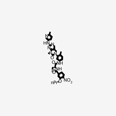 CCCOc1cc(C(=O)N[C@@H](CC(C)C)C(=O)Nc2ccc(C)c(N3Cc4cnc(Nc5ccc(C)nc5)nc4N(C)C3=O)c2)ccc1[N+](=O)[O-]